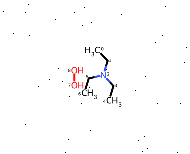 CCN(CC)CC.OO